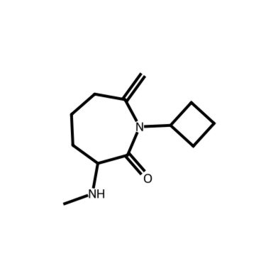 C=C1CCCC(NC)C(=O)N1C1CCC1